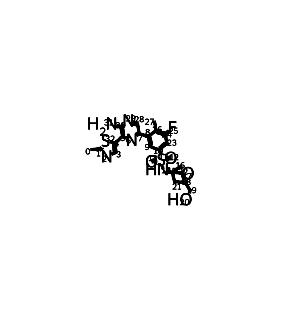 Cc1ncc(-c2nc(-c3cc(S(=O)(=O)NC45COC(CO)(C4)C5)cc(F)c3C)cnc2N)s1